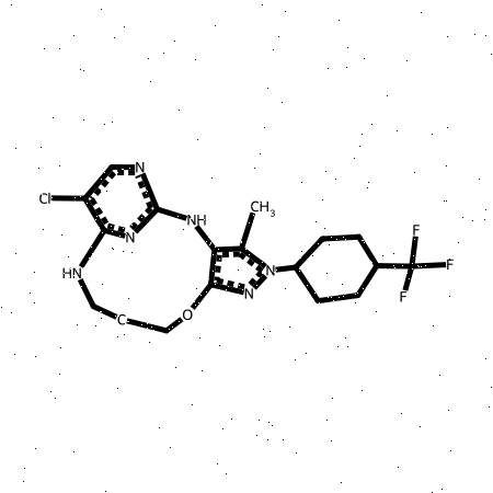 Cc1c2c(nn1C1CCC(C(F)(F)F)CC1)OCCCNc1nc(ncc1Cl)N2